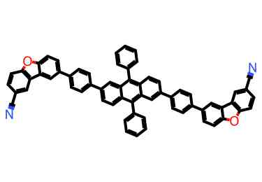 N#Cc1ccc2oc3ccc(-c4ccc(-c5ccc6c(-c7ccccc7)c7cc(-c8ccc(-c9ccc%10oc%11ccc(C#N)cc%11c%10c9)cc8)ccc7c(-c7ccccc7)c6c5)cc4)cc3c2c1